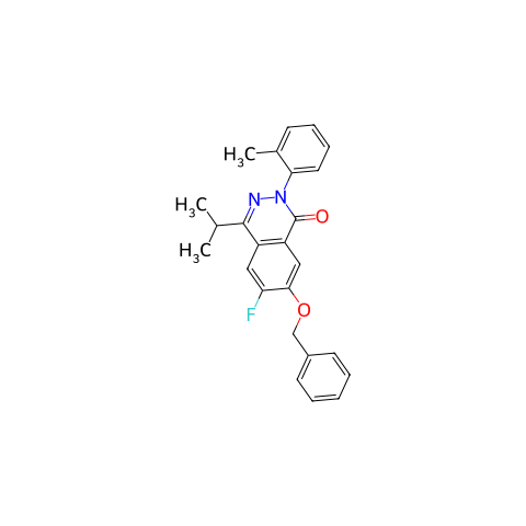 Cc1ccccc1-n1nc(C(C)C)c2cc(F)c(OCc3ccccc3)cc2c1=O